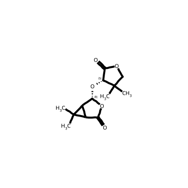 CC1(C)C2C(=O)O[C@@H](O[C@@H]3C(=O)OCC3(C)C)C21